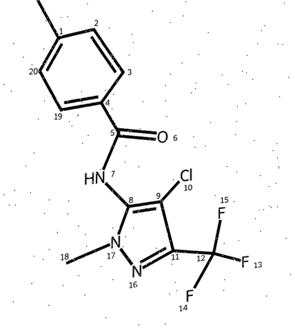 Cc1ccc(C(=O)Nc2c(Cl)c(C(F)(F)F)nn2C)cc1